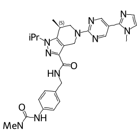 CNC(=O)Nc1ccc(CNC(=O)c2nn(C(C)C)c3c2CN(c2ncc(-c4nccn4C)cn2)C[C@@H]3C)cc1